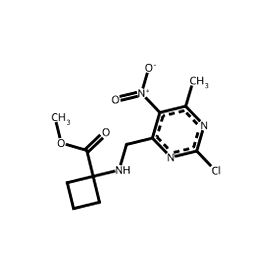 COC(=O)C1(NCc2nc(Cl)nc(C)c2[N+](=O)[O-])CCC1